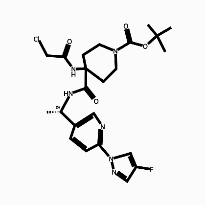 C[C@H](NC(=O)C1(NC(=O)CCl)CCN(C(=O)OC(C)(C)C)CC1)c1ccc(-n2cc(F)cn2)nc1